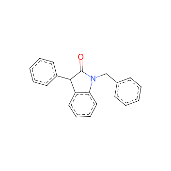 O=C1C(c2ccccc2)c2ccccc2N1Cc1ccccc1